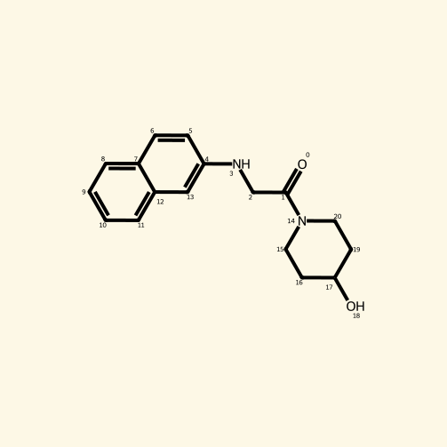 O=C(CNc1ccc2ccccc2c1)N1CCC(O)CC1